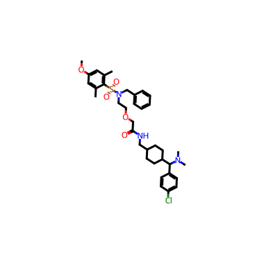 COc1cc(C)c(S(=O)(=O)N(CCOCC(=O)NCC2CCC(C(c3ccc(Cl)cc3)N(C)C)CC2)Cc2ccccc2)c(C)c1